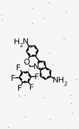 Nc1ccc2c(c1)O[C@@H](c1c(F)c(F)c(F)c(F)c1F)n1c-2cc2cc(N)ccc21